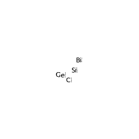 [Bi].[C].[Ge].[Si]